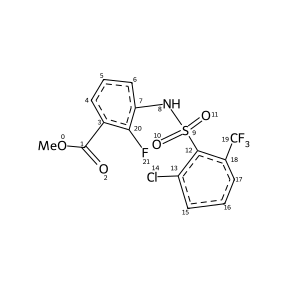 COC(=O)c1cccc(NS(=O)(=O)c2c(Cl)cccc2C(F)(F)F)c1F